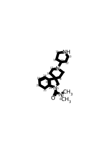 CN(C)C(=O)N1CC2(CCN(C3CCNCC3)CC2)C2=C1CCC=C2